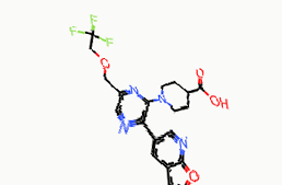 O=C(O)C1CCN(c2nc(COCC(F)(F)F)cnc2-c2cnc3occc3c2)CC1